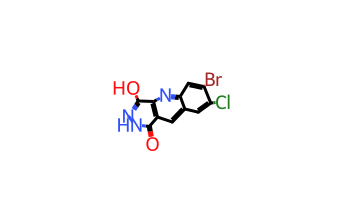 O=c1[nH]nc(O)c2nc3cc(Br)c(Cl)cc3cc12